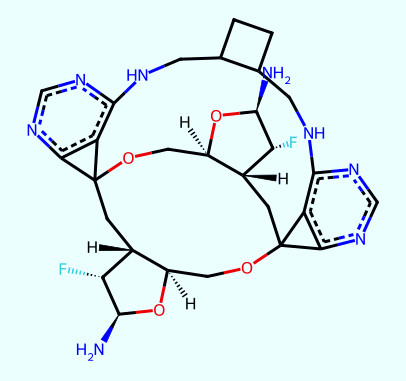 N[C@@H]1O[C@@H]2COC34C[C@H]5[C@@H](F)[C@H](N)O[C@@H]5COC5(C[C@H]2[C@H]1F)c1ncnc(c15)NCC1CCC1CNc1ncnc3c14